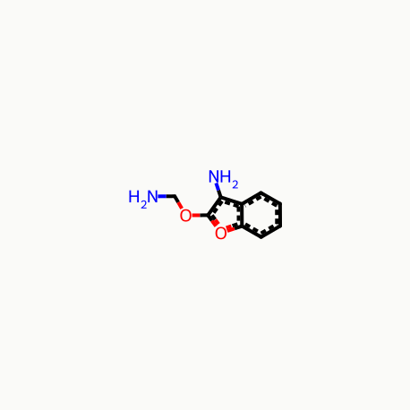 NCOc1oc2ccccc2c1N